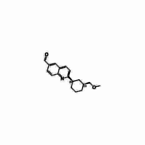 COC[C@H]1CCC[C@@H](c2ccc3cc(C=O)ccc3n2)C1